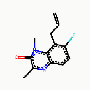 C=CCc1c(F)ccc2nc(C)c(=O)n(C)c12